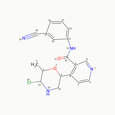 CC1OC(c2ccncc2C(=O)Nc2cccc(C#N)c2)CNC1Cl